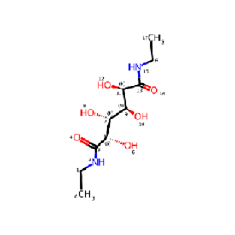 CCNC(=O)[C@@H](O)[C@H](O)[C@H](O)[C@@H](O)C(=O)NCC